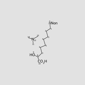 CCCCCCCCCCCCCCCCC(O)C(=O)O.CN(C)C